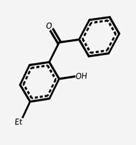 [CH2]Cc1ccc(C(=O)c2ccccc2)c(O)c1